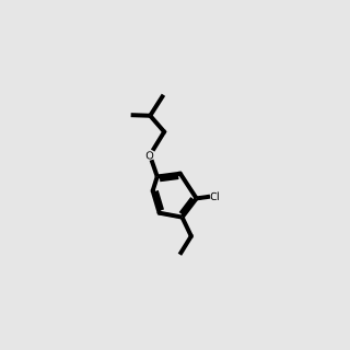 CCc1ccc(OCC(C)C)cc1Cl